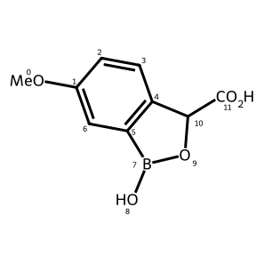 COc1ccc2c(c1)B(O)OC2C(=O)O